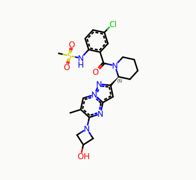 Cc1cn2nc([C@@H]3CCCCN3C(=O)c3cc(Cl)ccc3NS(C)(=O)=O)cc2nc1N1CC(O)C1